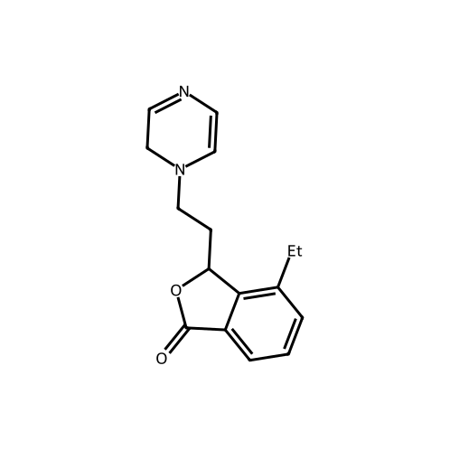 CCc1cccc2c1C(CCN1C=CN=CC1)OC2=O